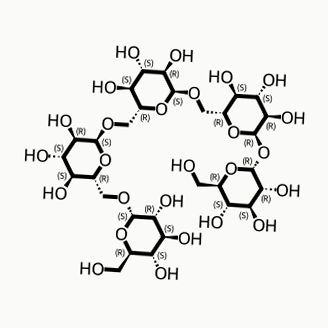 OC[C@H]1O[C@H](OC[C@H]2O[C@H](OC[C@H]3O[C@H](OC[C@H]4O[C@H](O[C@H]5O[C@H](CO)[C@@H](O)[C@H](O)[C@H]5O)[C@H](O)[C@@H](O)[C@@H]4O)[C@H](O)[C@@H](O)[C@@H]3O)[C@H](O)[C@@H](O)[C@@H]2O)[C@H](O)[C@@H](O)[C@@H]1O